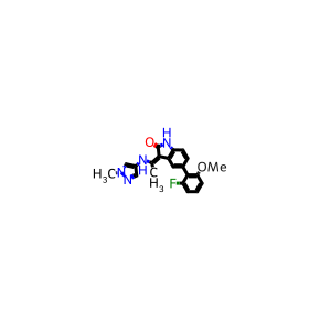 COc1cccc(F)c1-c1ccc2c(c1)/C(=C(\C)Nc1cnn(C)c1)C(=O)N2